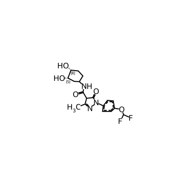 CC1=NN(c2ccc(OC(F)F)cc2)C(=O)C1C(=O)NC1CC[C@@H](O)[C@@H](O)C1